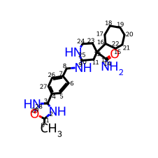 CC1NC(c2ccc(CNC3CC(C(N)=O)(C4CCCCCC4)CCN3)cc2)NO1